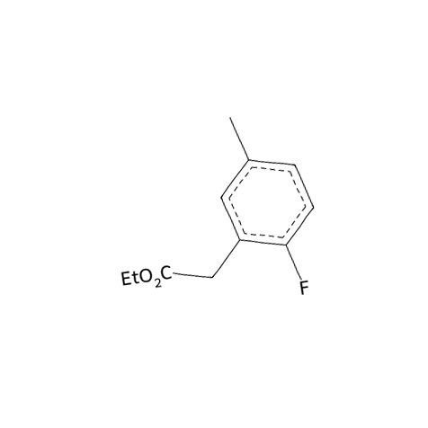 CCOC(=O)Cc1cc(C)ccc1F